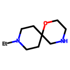 CCN1CCC2(CC1)CNCCO2